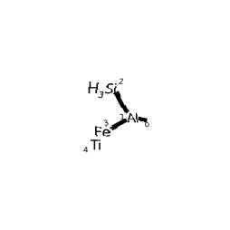 [CH3][Al]([SiH3])[Fe].[Ti]